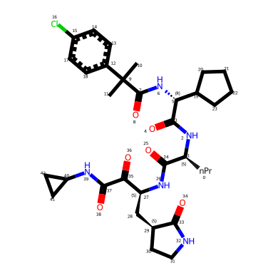 CCC[C@H](NC(=O)[C@H](NC(=O)C(C)(C)c1ccc(Cl)cc1)C1CCCC1)C(=O)N[C@@H](C[C@@H]1CCNC1=O)C(=O)C(=O)NC1CC1